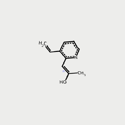 C=Cc1cccnc1/C=C(\C)O